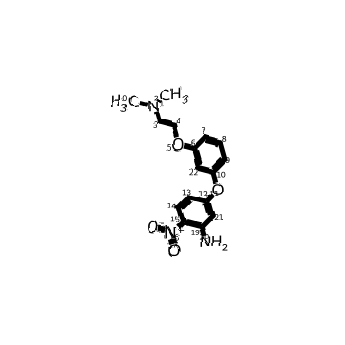 CN(C)CCOc1cccc(Oc2ccc([N+](=O)[O-])c(N)c2)c1